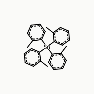 Cc1cccc[c]1[Sn]([c]1ccccc1C)([c]1ccccc1C)[c]1ccccc1C